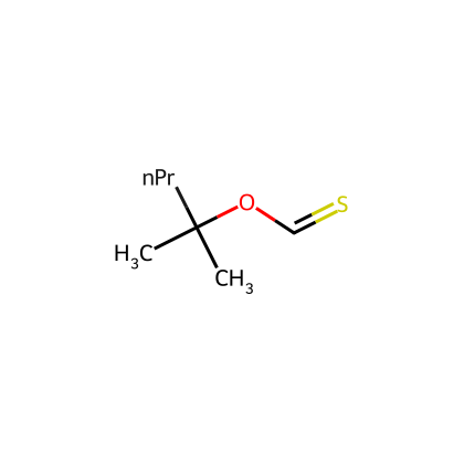 CCCC(C)(C)OC=S